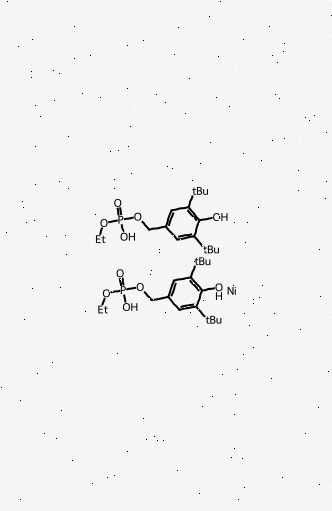 CCOP(=O)(O)OCc1cc(C(C)(C)C)c(O)c(C(C)(C)C)c1.CCOP(=O)(O)OCc1cc(C(C)(C)C)c(O)c(C(C)(C)C)c1.[Ni]